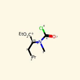 CCOC(=O)[C@H](CC(C)C)N(C)C(=O)Cl